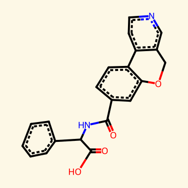 O=C(NC(C(=O)O)c1ccccc1)c1ccc2c(c1)OCc1cnccc1-2